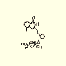 Cc1cccc2c(=O)[nH]c(CCN3CCC[C@@H]3COP(=O)(O)OP(=O)(O)O)cc12